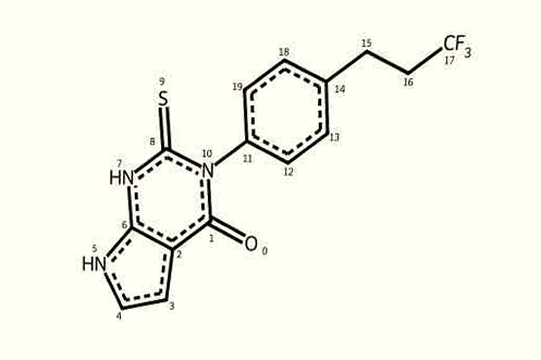 O=c1c2cc[nH]c2[nH]c(=S)n1-c1ccc(CCC(F)(F)F)cc1